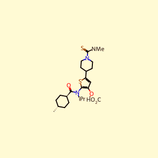 CNC(=S)N1CCC(c2cc(OC(=O)O)c(N(C(=O)[C@H]3CC[C@H](C)CC3)C(C)C)s2)CC1